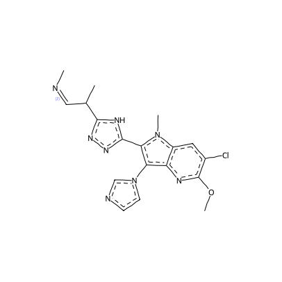 C/N=C\C(C)c1nnc(-c2c(-n3ccnc3)c3nc(OC)c(Cl)cc3n2C)[nH]1